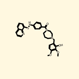 COc1ccc(CN2CCCN(C(=O)c3ccc(NSc4cccc5cccnc45)cc3)CC2)c(O)c1OC